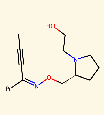 CC#C/C(=N\OC[C@H]1CCCN1CCO)C(C)C